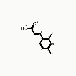 Cc1ccc(/C=C/C(=O)O)c(C)c1